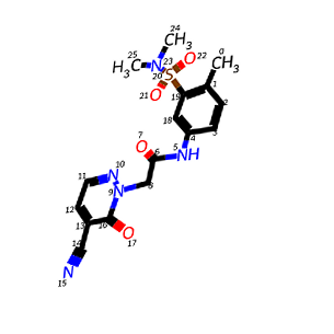 Cc1ccc(NC(=O)Cn2nccc(C#N)c2=O)cc1S(=O)(=O)N(C)C